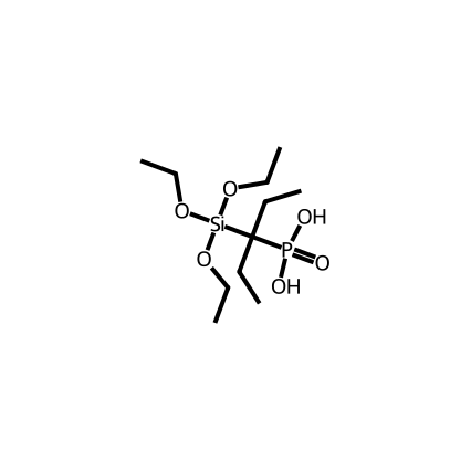 CCO[Si](OCC)(OCC)C(CC)(CC)P(=O)(O)O